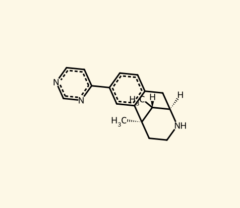 C[C@@H]1[C@H]2Cc3ccc(-c4ccncn4)cc3[C@]1(C)CCN2